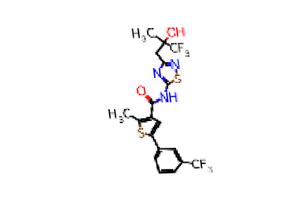 Cc1sc(-c2cccc(C(F)(F)F)c2)cc1C(=O)Nc1nc(CC(C)(O)C(F)(F)F)ns1